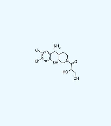 N[C@@H](c1cc(Cl)c(Cl)cc1O)C1CCN(C(=O)C(O)CO)CC1